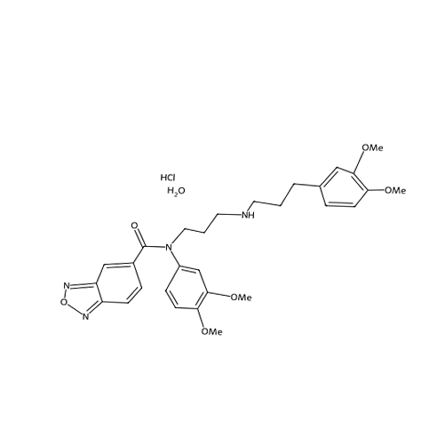 COc1ccc(CCCNCCCN(C(=O)c2ccc3nonc3c2)c2ccc(OC)c(OC)c2)cc1OC.Cl.O